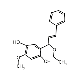 CCOC(C=Cc1ccccc1)c1cc(O)c(OC)cc1O